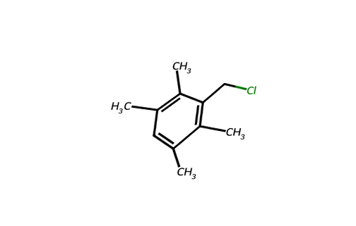 Cc1cc(C)c(C)c(CCl)c1C